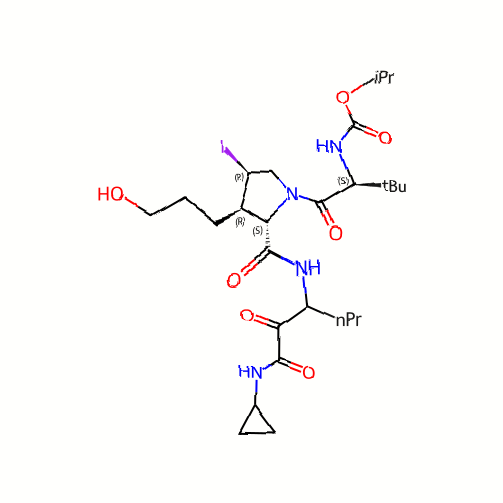 CCCC(NC(=O)[C@@H]1[C@@H](CCCO)[C@@H](I)CN1C(=O)[C@@H](NC(=O)OC(C)C)C(C)(C)C)C(=O)C(=O)NC1CC1